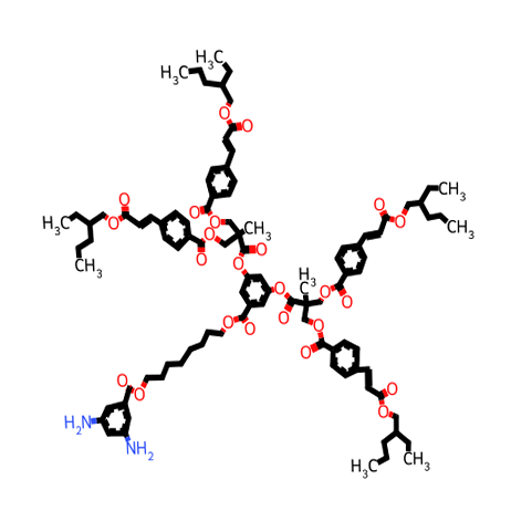 CCCC(CC)COC(=O)/C=C/c1ccc(C(=O)OCC(C)(COC(=O)c2ccc(/C=C/C(=O)OCC(CC)CCC)cc2)C(=O)Oc2cc(OC(=O)C(C)(COC(=O)c3ccc(/C=C/C(=O)OCC(CC)CCC)cc3)COC(=O)c3ccc(/C=C/C(=O)OCC(CC)CCC)cc3)cc(C(=O)OCCCCCCCCOC(=O)c3cc(N)cc(N)c3)c2)cc1